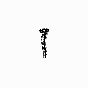 O=C(CC(F)(F)C(F)(F)C(F)(F)C(F)(F)C(F)(F)C(F)(F)C(F)(F)C(F)(F)C(F)(F)C(F)(F)C(F)(F)C(F)(F)C(F)(F)C(F)(F)C(F)(F)C(F)(F)C(F)(F)F)N1c2ccccc2C=Cc2ccccc21